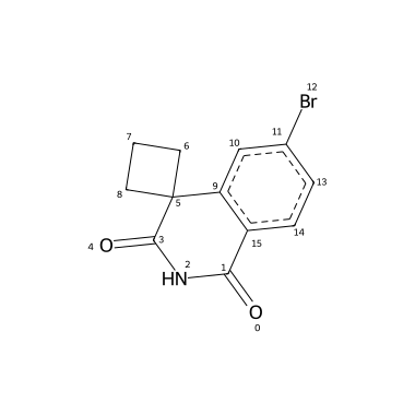 O=C1NC(=O)C2(CCC2)c2cc(Br)ccc21